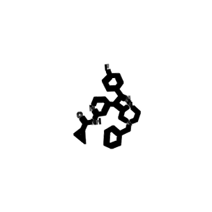 O=C(Nc1cc(-c2c(-c3ccc(F)cc3)nn3c2CN(Cc2ccccc2)CC3)ccn1)C1CC1